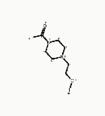 O=C(I)N1CCN(CCOI)CC1